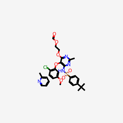 COc1ccc(Cl)c(Oc2c(NS(=O)(=O)c3ccc(C(C)(C)C)cc3)nc(C)nc2OCCOC=O)c1.Cc1ccccn1